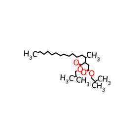 CCCCCCCCCCCCC(C)C(CC(=O)OCC(C)C)C(=O)OCC(C)C